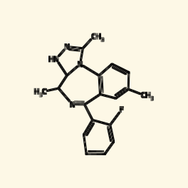 CC1=NNC2C(C)N=C(c3ccccc3F)c3cc(C)ccc3N12